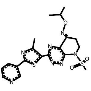 Cc1nc(-c2cccnc2)sc1-c1nnc2c(n1)/C(=N/OC(C)C)CCN2S(C)(=O)=O